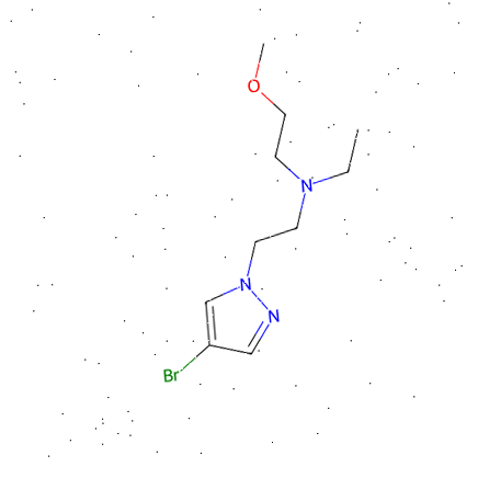 CCN(CCOC)CCn1cc(Br)cn1